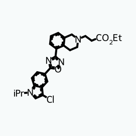 CCOC(=O)CCN1CCc2c(cccc2-c2noc(-c3ccc4c(c3)c(Cl)cn4C(C)C)n2)C1